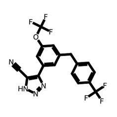 N#Cc1[nH]nnc1-c1cc(Cc2ccc(C(F)(F)F)cc2)cc(OC(F)(F)F)c1